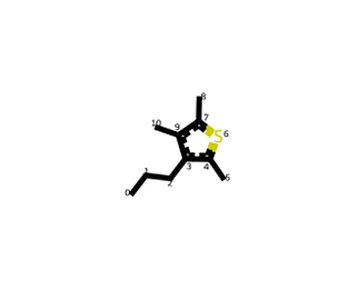 CCCc1c(C)sc(C)c1C